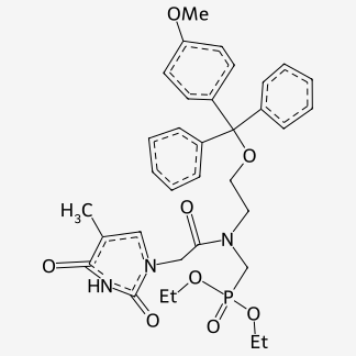 CCOP(=O)(CN(CCOC(c1ccccc1)(c1ccccc1)c1ccc(OC)cc1)C(=O)Cn1cc(C)c(=O)[nH]c1=O)OCC